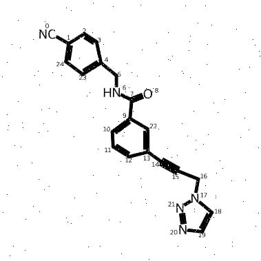 N#Cc1ccc(CNC(=O)c2cccc(C#CCn3ccnn3)c2)cc1